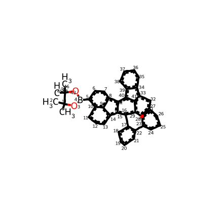 CC1(C)OB(c2ccc3c4c2cccc4c2c(-c4ccccc4-c4ccccc4)c4cccc5c6ccccc6c(c45)c32)OC1(C)C